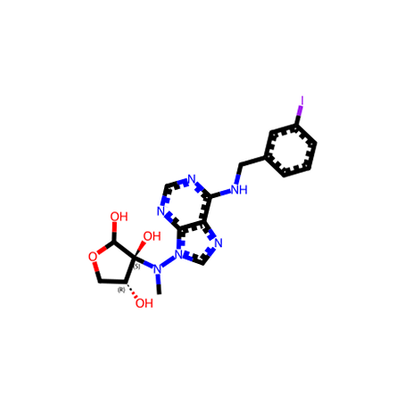 CN(n1cnc2c(NCc3cccc(I)c3)ncnc21)[C@@]1(O)C(O)OC[C@H]1O